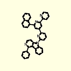 c1ccc(-c2nccc3c2c2ccccc2n3-c2cccc(-c3cc(-c4ccccn4)nc(-c4cccc5ccccc45)c3)n2)cc1